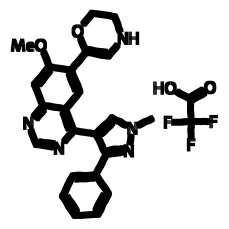 COc1cc2ncnc(-c3cn(C)nc3-c3ccccc3)c2cc1C1=CNCCO1.O=C(O)C(F)(F)F